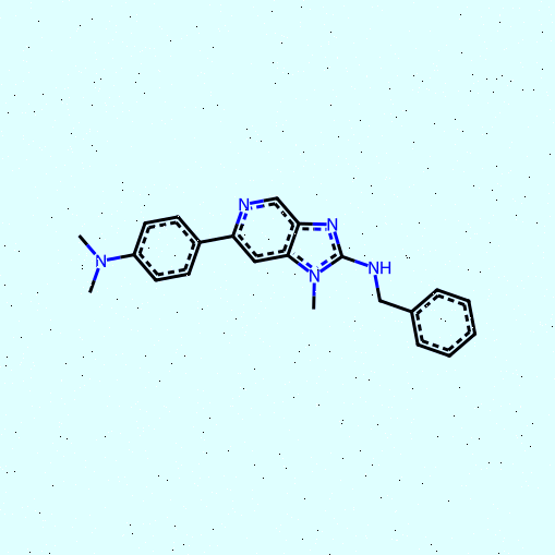 CN(C)c1ccc(-c2cc3c(cn2)nc(NCc2ccccc2)n3C)cc1